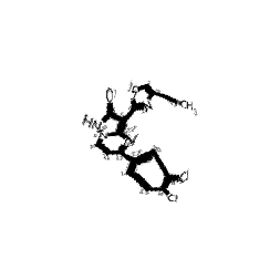 Cc1csc(-c2c(=O)[nH]n3ccc(-c4ccc(Cl)c(Cl)c4)nc23)n1